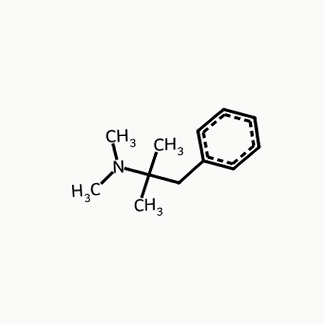 CN(C)C(C)(C)Cc1ccccc1